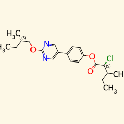 CCC(C)[C@H](Cl)C(=O)Oc1ccc(-c2cnc(OC[C@@H](C)CC)nc2)cc1